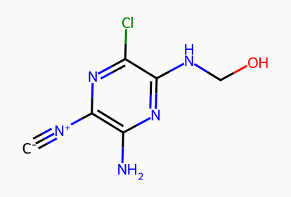 [C-]#[N+]c1nc(Cl)c(NCO)nc1N